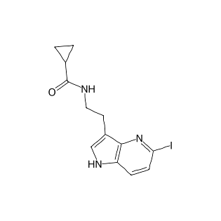 O=C(NCCc1c[nH]c2ccc(I)nc12)C1CC1